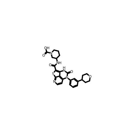 O=C(NC1CCCN(C(=O)O)C1)c1sc2nccc3c2c1NC(=O)N3c1cccc(C2CCOCC2)c1